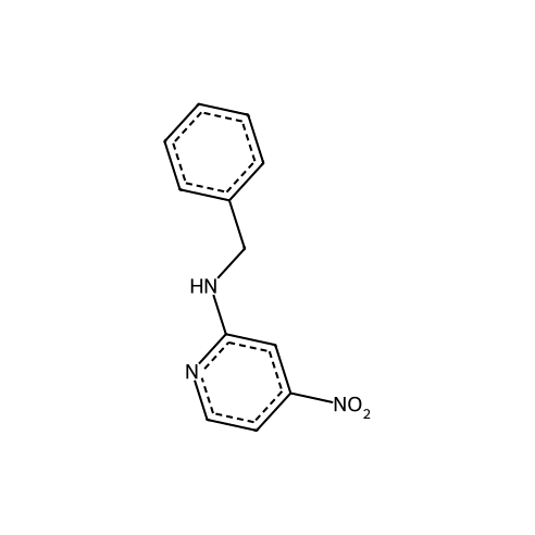 O=[N+]([O-])c1ccnc(NCc2ccccc2)c1